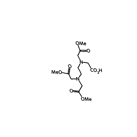 COC(=O)CN(CCN(CC(=O)OC)CC(=O)OC)CC(=O)O